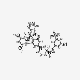 COc1ccc(CN(c2ccncn2)S(=O)(=O)c2c(F)cc(N3CCCC(CCc4cc(Cl)cc(C(F)(F)F)c4)(N(C)C)C3)cc2F)c(OC)c1